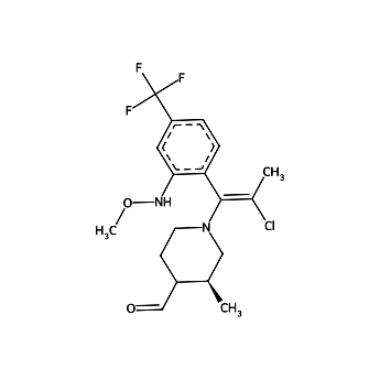 CONc1cc(C(F)(F)F)ccc1/C(=C(\C)Cl)N1CCC(C=O)[C@H](C)C1